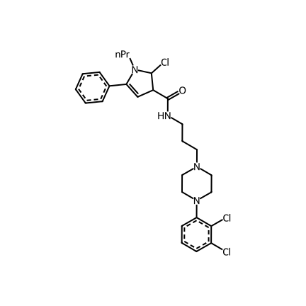 CCCN1C(c2ccccc2)=CC(C(=O)NCCCN2CCN(c3cccc(Cl)c3Cl)CC2)C1Cl